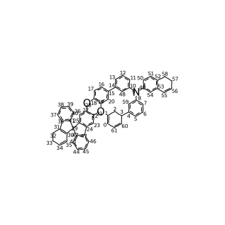 C1=CCC(c2cccc(N(c3cccc(-c4ccc5c(c4)Oc4cc6c(cc4O5)C4(C5=C(CCC=C5)c5ccccc54)c4ccccc4-6)c3)c3ccc4c(c3)C=CCC4)c2)C=C1